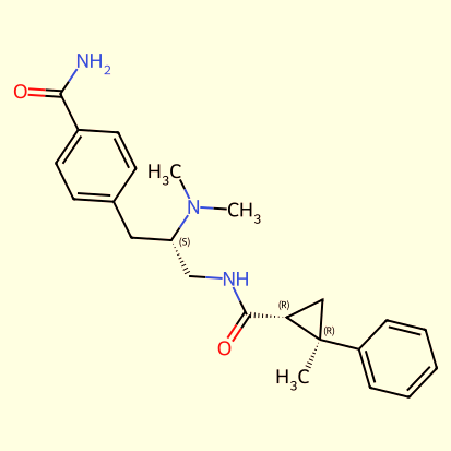 CN(C)[C@H](CNC(=O)[C@@H]1C[C@@]1(C)c1ccccc1)Cc1ccc(C(N)=O)cc1